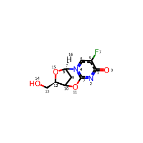 O=c1nc2n(cc1F)[C@H]1CC(O2)[C@@H](CO)O1